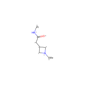 CSN1CC(CC(=O)NC(C)C)C1